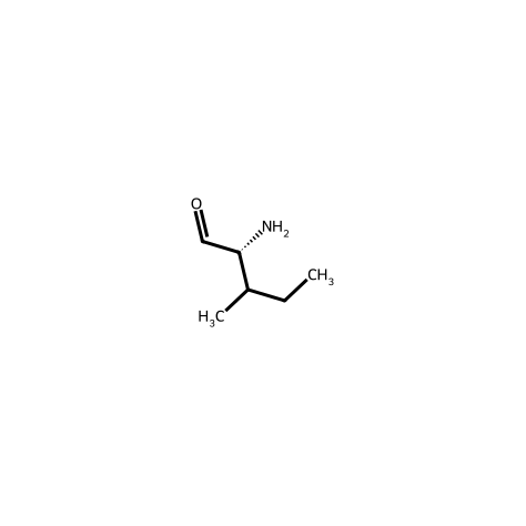 CCC(C)[C@@H](N)C=O